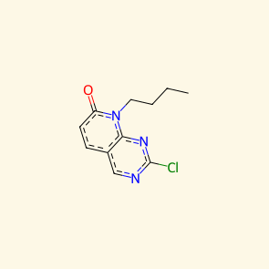 CCCCn1c(=O)ccc2cnc(Cl)nc21